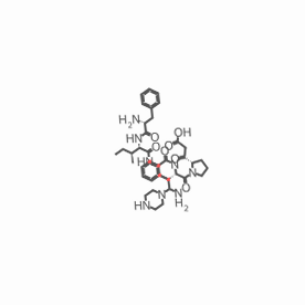 CC[C@H](C)[C@H](NC(=O)[C@H](N)Cc1ccccc1)C(=O)N[C@@H](CCC(N)N1CCNCC1)C(=O)N(C)[C@@H](Cc1ccccc1)C(=O)N1CCC[C@H]1C(=O)CC(=O)O